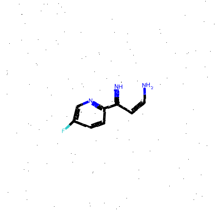 N=C(/C=C\N)c1ccc(F)cn1